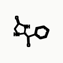 O=C1CN[C](C(=O)c2ccccc2)N1